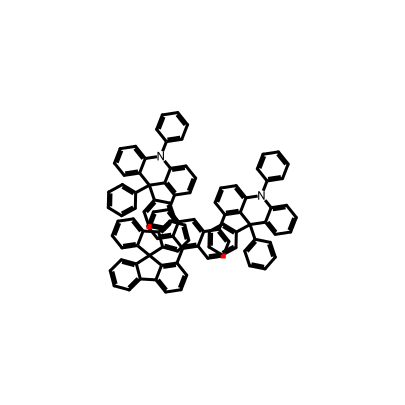 c1ccc(N2c3ccccc3C(c3ccccc3)(c3ccccc3)c3c(-c4cccc5c(-c6cccc7c6C6(c8ccccc8-c8ccccc86)c6ccccc6-7)c6cccc(-c7cccc8c7C(c7ccccc7)(c7ccccc7)c7ccccc7N8c7ccccc7)c6cc45)cccc32)cc1